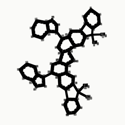 CC1(C)c2ccccc2-c2cc3c(-c4csc5ccccc45)cc4c5cc(-c6csc7ccccc67)c6cc7c(cc6c5sc4c3cc21)C(C)(C)c1ccccc1-7